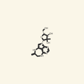 C=C1CNc2ncnc3c2c(cn3[C@@H]2O[C@H](CO)[C@@H](O)C2(C)O)N1